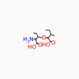 CCC(C)C(=O)C(=O)O.CCC(C)[C@@H](N)C(=O)O